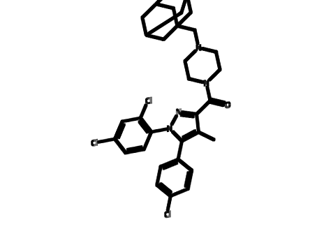 Cc1c(C(=O)N2CCN(CC34CC5CC(CC(C5)C3)C4)CC2)nn(-c2ccc(Cl)cc2Cl)c1-c1ccc(Cl)cc1